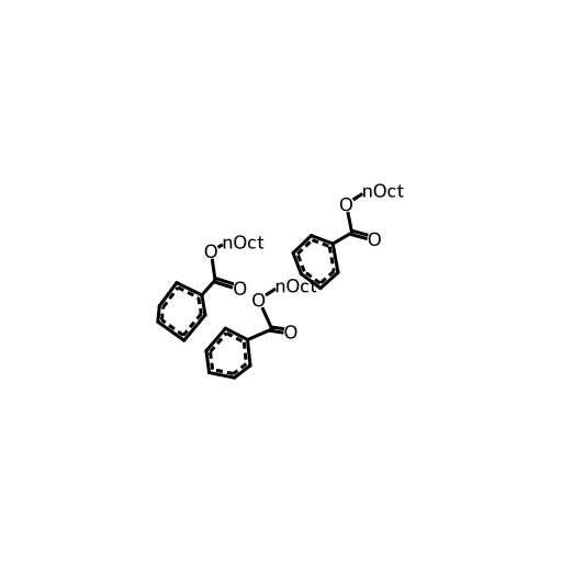 CCCCCCCCOC(=O)c1ccccc1.CCCCCCCCOC(=O)c1ccccc1.CCCCCCCCOC(=O)c1ccccc1